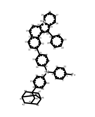 Fc1ccc(N(c2ccc(-c3ccc4ccc5c(c(-c6ccccc6)c6ccccn65)c4c3)cc2)c2ccc(C34CC5CC(CC(C5)C3)C4)cc2)cc1